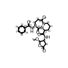 COC1OC(=O)CC1NC(=O)C1CCCN2C(=O)CCN(NC(=O)c3ccccc3)C(=O)N12